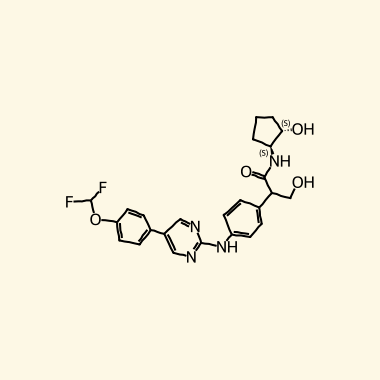 O=C(N[C@H]1CCC[C@@H]1O)C(CO)c1ccc(Nc2ncc(-c3ccc(OC(F)F)cc3)cn2)cc1